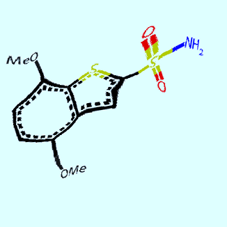 COc1ccc(OC)c2sc(S(N)(=O)=O)cc12